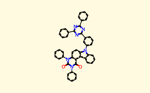 O=c1c2c3c4ccccc4n(-c4cccc(-c5nc(-c6ccccc6)nc(-c6ccccc6)n5)c4)c3ccc2n(-c2ccccc2)c(=O)n1-c1ccccc1